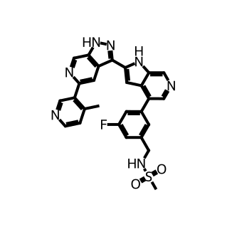 Cc1ccncc1-c1cc2c(-c3cc4c(-c5cc(F)cc(CNS(C)(=O)=O)c5)cncc4[nH]3)n[nH]c2cn1